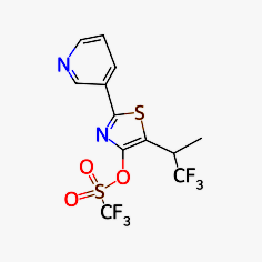 CC(c1sc(-c2cccnc2)nc1OS(=O)(=O)C(F)(F)F)C(F)(F)F